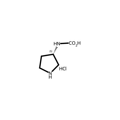 Cl.O=C(O)N[C@H]1CCNC1